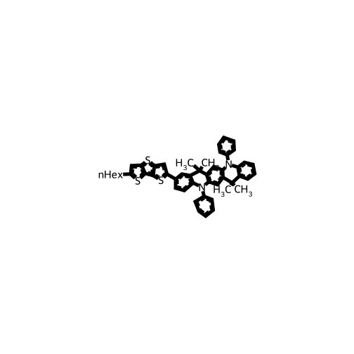 CCCCCCc1cc2sc3cc(-c4ccc5c(c4)C(C)(C)c4cc6c(cc4N5c4ccccc4)C(C)(C)c4ccccc4N6c4ccccc4)sc3c2s1